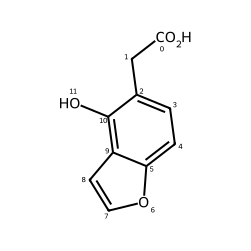 O=C(O)Cc1ccc2occc2c1O